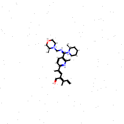 C=C/C(C)=C(C=O)\C=C(/C)c1ccc(/C(=N\CN2CCOC[C@@H]2C)N2CCCC[C@@H]2C)c(C)n1